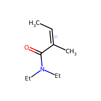 C/C=C(/C)C(=O)N(CC)CC